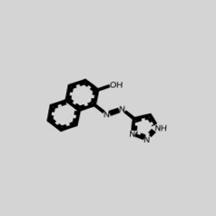 Oc1ccc2ccccc2c1N=Nc1c[nH]nn1